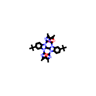 Cc1nc(N2/C(=C3/N(c4nc(C)c(C)o4)c4ccc(C(C)(C)C)cc4N3c3nc(C)c(C)o3)N(c3nc(C)c(C)o3)c3cc(C(C)(C)C)ccc32)oc1C